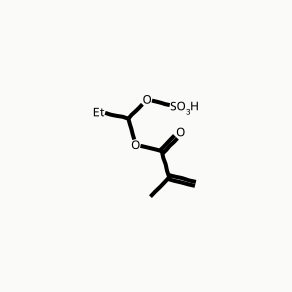 C=C(C)C(=O)OC(CC)OS(=O)(=O)O